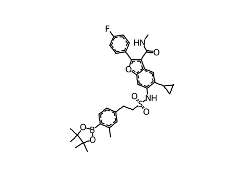 CNC(=O)c1c(-c2ccc(F)cc2)oc2cc(NS(=O)(=O)CCc3ccc(B4OC(C)(C)C(C)(C)O4)c(C)c3)c(C3CC3)cc12